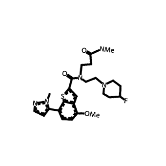 CNC(=O)CCN(CCN1CCC(F)CC1)C(=O)c1cc2c(OC)ccc(-c3ccnn3C)c2s1